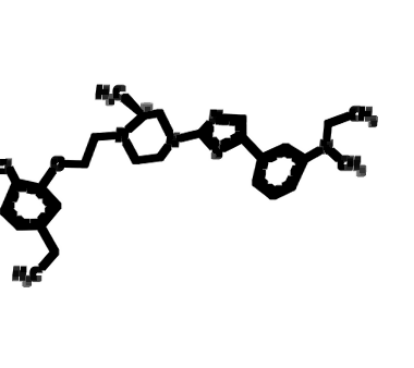 CCc1ccc(Cl)c(OCCN2CCN(c3ncc(-c4cccc(N(C)CC)c4)s3)C[C@@H]2C)c1